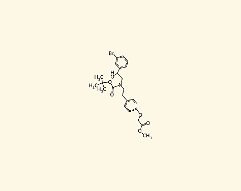 COC(=O)COc1ccc(CCN(CC(O)c2cccc(Br)c2)C(=O)OC(C)(C)C)cc1